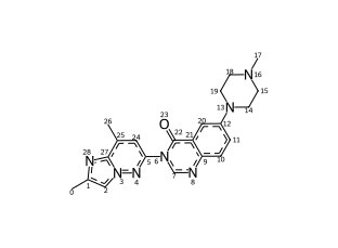 Cc1cn2nc(-n3cnc4ccc(N5CCN(C)CC5)cc4c3=O)cc(C)c2n1